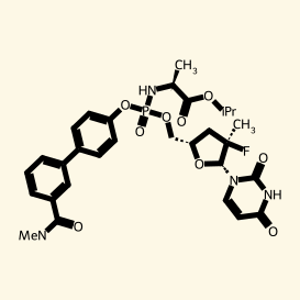 CNC(=O)c1cccc(-c2ccc(OP(=O)(N[C@@H](C)C(=O)OC(C)C)OC[C@@H]3C[C@@](C)(F)[C@H](n4ccc(=O)[nH]c4=O)O3)cc2)c1